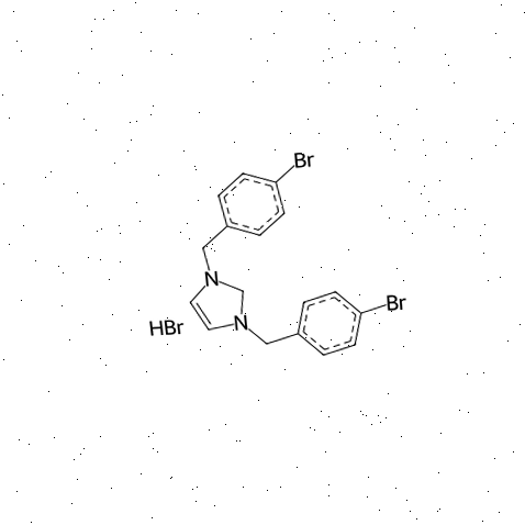 Br.Brc1ccc(CN2C=CN(Cc3ccc(Br)cc3)C2)cc1